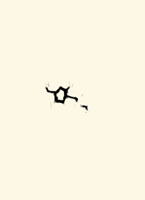 CCOC(=O)c1cc(F)c(CBr)cc1F